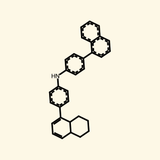 C1=CC2CCCCC2C(c2ccc(Nc3ccc(-c4cccc5ccccc45)cc3)cc2)=C1